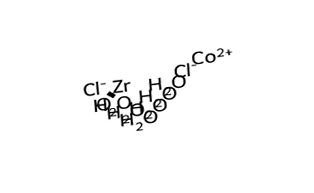 O.O.O.O.O.O.[Cl-].[Cl-].[Co+2].[O]=[Zr]